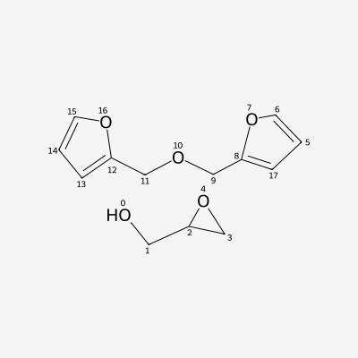 OCC1CO1.c1coc(COCc2ccco2)c1